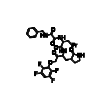 CC(C)CC(NC(=O)C(=O)NCc1ccccc1)C(=O)NC(C[C@@H]1CCNC1=O)C(=O)COc1c(F)c(F)cc(F)c1F